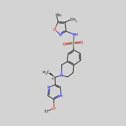 CCOc1cnc([C@@H](C)N2CCc3ccc(S(=O)(=O)Nc4noc(C(C)(C)C)c4C)cc3C2)cn1